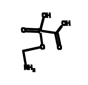 NCOP(=O)(O)C(=O)O